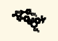 C[C@@H]1Cc2cc(C(F)(F)F)ccc2S(=O)(=O)N(Cc2cccc(-n3ncc(C(=O)O)c3C3CC3c3cnn(C)c3)c2)C1